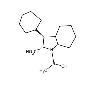 CB(O)N1C2CCCCC2[C@H](C2CCCCC2)[C@H]1C(=O)O